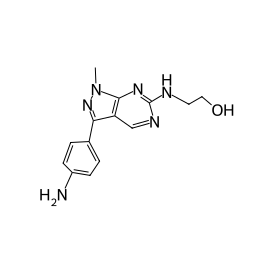 Cn1nc(-c2ccc(N)cc2)c2cnc(NCCO)nc21